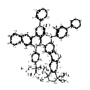 Cc1cc(-c2ccccc2)ccc1N1c2cc3oc4cc5c(cc4c3cc2B2c3c(cc(-c4ccccc4)cc31)-c1cc3ccccc3cc1N2c1ccc(C(C)(C)C)cc1)C(C)(C)CCC5(C)C